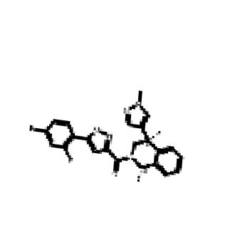 C[C@H]1c2ccccc2[C@](C)(c2cnn(C)c2)CN1C(=O)c1cc(-c2ccc(F)cc2F)on1